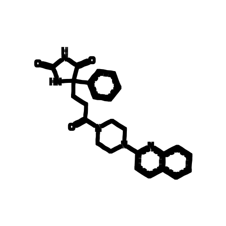 O=C1NC(=O)C(CCC(=O)N2CCN(c3ccc4ccccc4n3)CC2)(c2ccccc2)N1